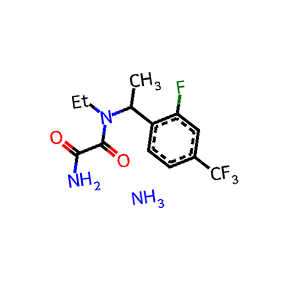 CCN(C(=O)C(N)=O)C(C)c1ccc(C(F)(F)F)cc1F.N